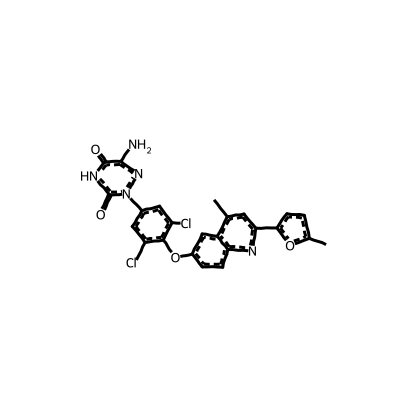 Cc1ccc(-c2cc(C)c3cc(Oc4c(Cl)cc(-n5nc(N)c(=O)[nH]c5=O)cc4Cl)ccc3n2)o1